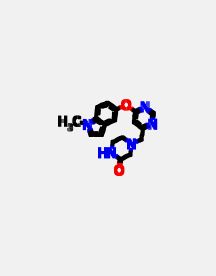 Cn1ccc2cc(Oc3cc(CN4CCNC(=O)C4)ncn3)ccc21